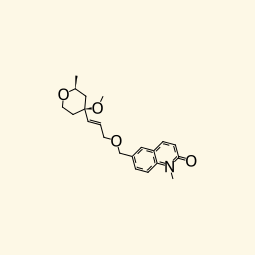 CO[C@@]1(C=CCOCc2ccc3c(ccc(=O)n3C)c2)CCO[C@@H](C)C1